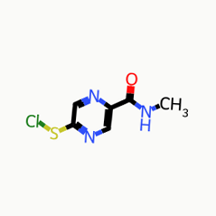 CNC(=O)c1cnc(SCl)cn1